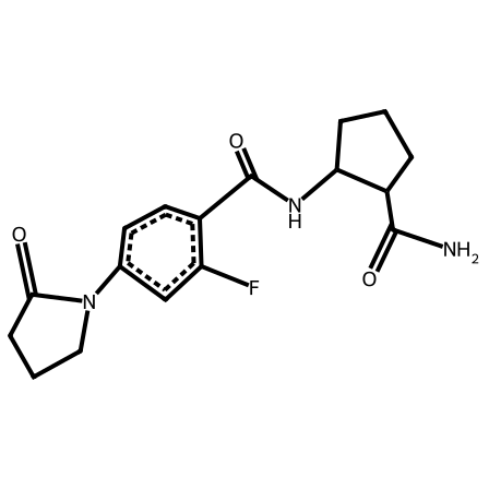 NC(=O)C1CCCC1NC(=O)c1ccc(N2CCCC2=O)cc1F